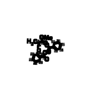 C=C(C)C(=O)OC.O=C(OOC(=O)c1ccccc1)c1ccccc1